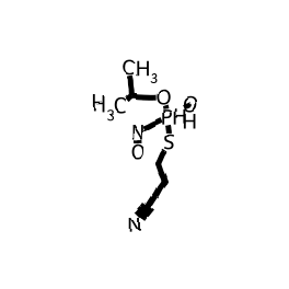 CC(C)O[PH](O)(N=O)SCCC#N